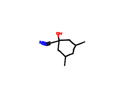 CC1CC(C)CC(O)(C#N)C1